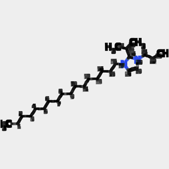 CCCCCCCCCCCCCCCCCN1C=CN(CCC)C1C(C)C